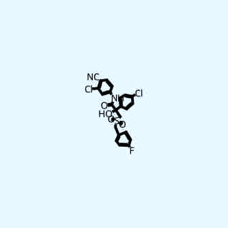 N#Cc1ccc(NC(=O)C(O)(CS(=O)(=O)Cc2ccc(F)cc2)c2ccc(Cl)cc2)cc1Cl